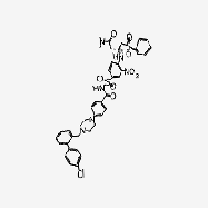 CN(C)C(=O)C[C@H](CS(=O)(=O)c1ccccc1)Nc1ccc(S(=O)(=O)NC(=O)c2ccc(N3CCN(Cc4ccccc4-c4ccc(Cl)cc4)CC3)cc2)cc1[N+](=O)[O-]